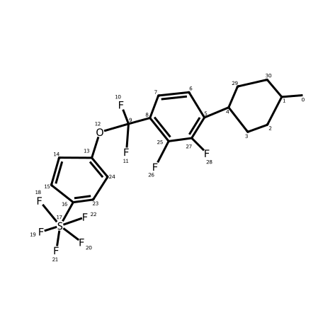 CC1CCC(c2ccc(C(F)(F)Oc3ccc(S(F)(F)(F)(F)F)cc3)c(F)c2F)CC1